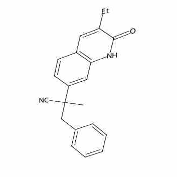 CCc1cc2ccc(C(C)(C#N)Cc3ccccc3)cc2[nH]c1=O